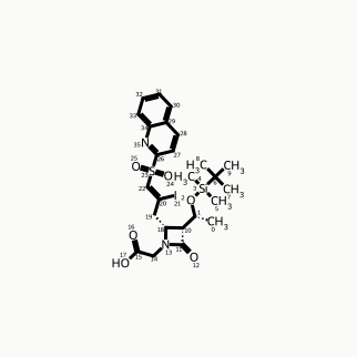 C[C@@H](O[Si](C)(C)C(C)(C)C)[C@@H]1C(=O)N(CC(=O)O)[C@@H]1CC(I)=CS(=O)(=O)c1ccc2ccccc2n1